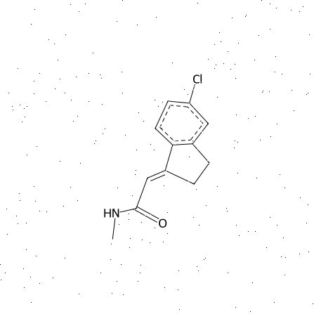 CNC(=O)/C=C1\CCc2cc(Cl)ccc21